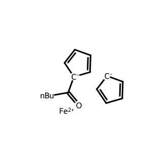 CCCCC(=O)[c-]1cccc1.[Fe+2].c1cc[cH-]c1